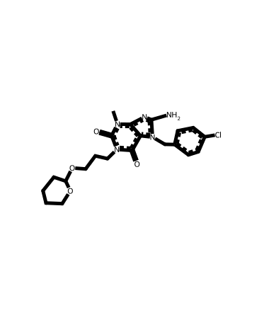 Cn1c(=O)n(CCCOC2CCCCO2)c(=O)c2c1nc(N)n2Cc1ccc(Cl)cc1